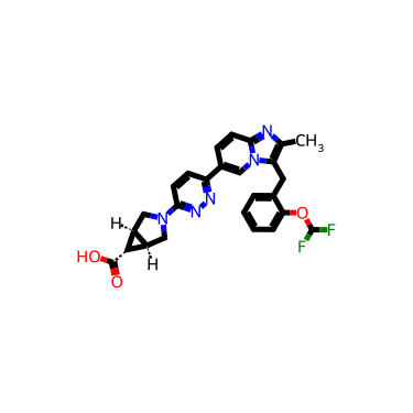 Cc1nc2ccc(-c3ccc(N4C[C@@H]5[C@H](C4)[C@H]5C(=O)O)nn3)cn2c1Cc1ccccc1OC(F)F